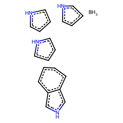 B.c1cc[nH]c1.c1cc[nH]c1.c1cc[nH]c1.c1ccc2c[nH]cc2c1